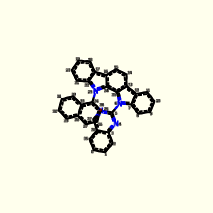 c1ccc2nc(-n3c4ccccc4c4ccc5c6ccccc6n(-c6cccc7ccccc67)c5c43)ncc2c1